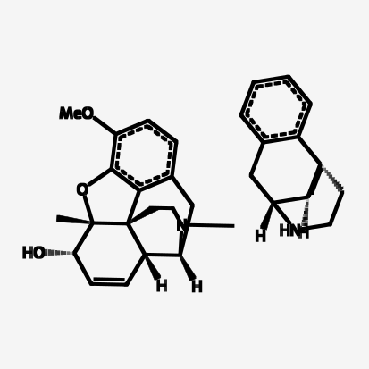 COc1ccc2c3c1O[C@@]1(C)[C@@H](O)C=C[C@H]4[C@@H](C2)N(C)CC[C@@]341.c1ccc2c(c1)C[C@H]1NCC[C@@]23CCCC[C@@H]13